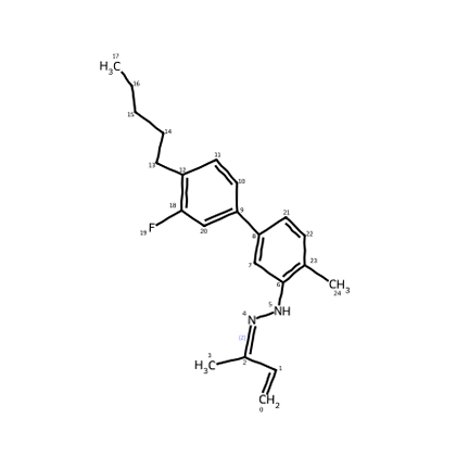 C=C/C(C)=N\Nc1cc(-c2ccc(CCCCC)c(F)c2)ccc1C